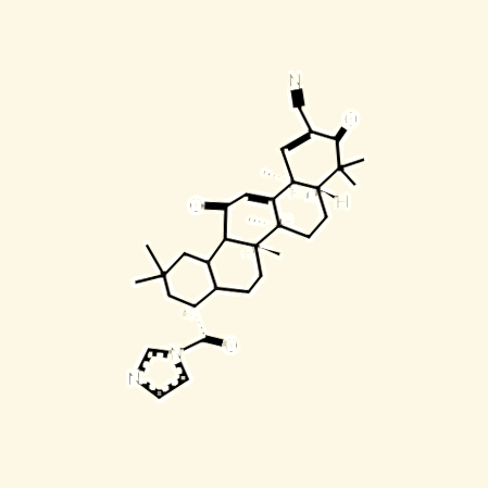 CC1(C)CC2C(CC[C@]3(C)C2C(=O)C=C2[C@@]4(C)C=C(C#N)C(=O)C(C)(C)[C@@H]4CC[C@]23C)[C@H](C(=O)n2ccnc2)C1